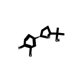 CC(C)(C#N)C1CC[C@@H](c2ccc(F)c(Cl)c2)N1